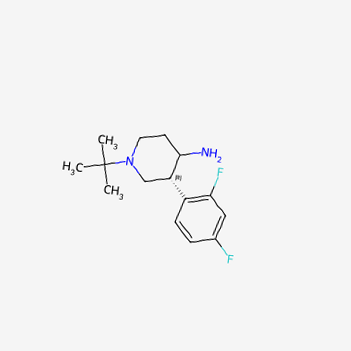 CC(C)(C)N1CCC(N)[C@H](c2ccc(F)cc2F)C1